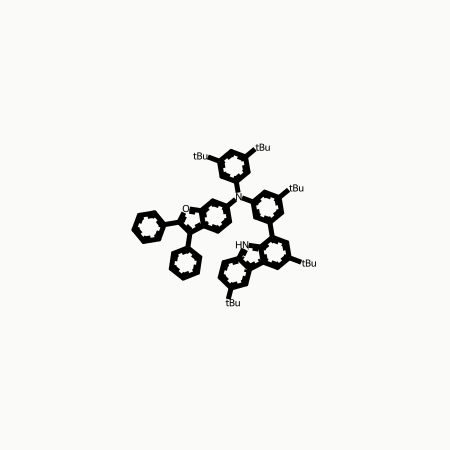 CC(C)(C)c1cc(-c2cc(C(C)(C)C)cc3c2[nH]c2ccc(C(C)(C)C)cc23)cc(N(c2cc(C(C)(C)C)cc(C(C)(C)C)c2)c2ccc3c(-c4ccccc4)c(-c4ccccc4)oc3c2)c1